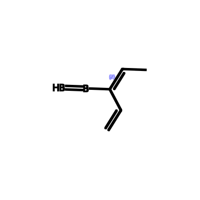 B=B/C(C=C)=C/C